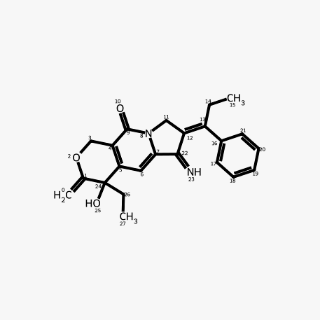 C=C1OCc2c(cc3n(c2=O)C/C(=C(\CC)c2ccccc2)C3=N)C1(O)CC